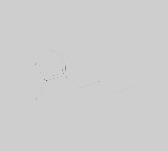 COCCn1sccc1=O